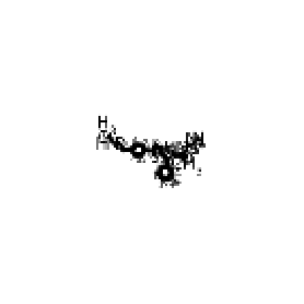 CCNOCc1ccc(-c2ccc([C@H](c3cccc(F)c3)C(C)(C)C(=O)Nc3nncs3)s2)cc1